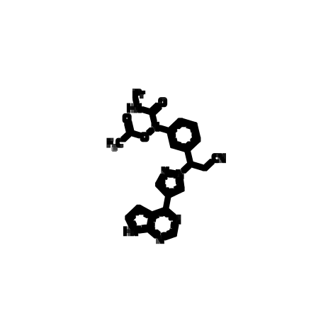 CC(C)NC(=O)N(OC(=O)C(F)(F)F)c1cccc(C(CC#N)n2cc(-c3ncnc4[nH]ccc34)cn2)c1